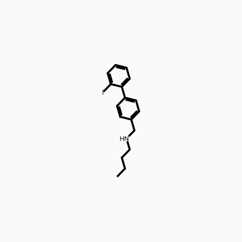 CCCCNCc1ccc(-c2ccccc2I)cc1